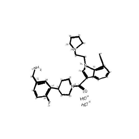 Cc1cccc2c(C(=O)N3CCC(c4cc(CN)ccc4F)CC3)cn(CCN3CCCC3)c12.Cl.Cl